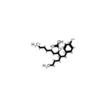 CCCCCCC(OC(=O)O)C(CCCC)Cc1ccc(I)cc1